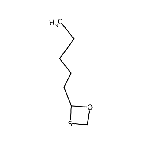 CCCCCC1OCS1